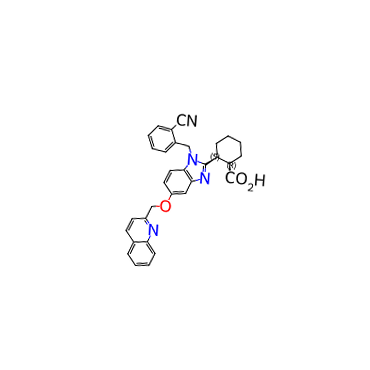 N#Cc1ccccc1Cn1c([C@H]2CCCC[C@H]2C(=O)O)nc2cc(OCc3ccc4ccccc4n3)ccc21